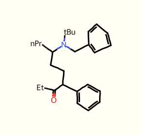 CCCC(CCC(C(=O)CC)c1ccccc1)N(Cc1ccccc1)C(C)(C)C